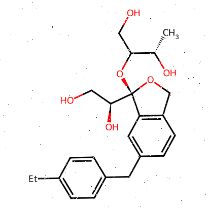 CCc1ccc(Cc2ccc3c(c2)[C@](OC(CO)[C@H](C)O)([C@@H](O)CO)OC3)cc1